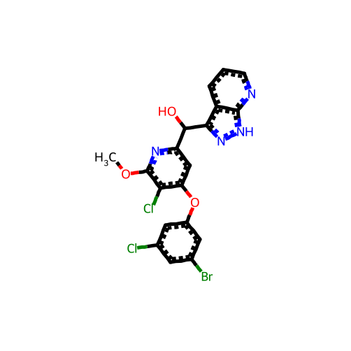 COc1nc(C(O)c2n[nH]c3ncccc23)cc(Oc2cc(Cl)cc(Br)c2)c1Cl